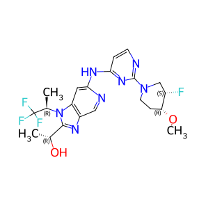 CO[C@@H]1CCN(c2nccc(Nc3cc4c(cn3)nc([C@@H](C)O)n4[C@H](C)C(F)(F)F)n2)C[C@@H]1F